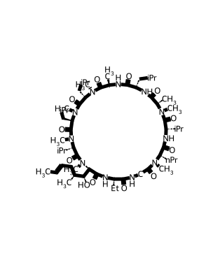 C/C=C/C[C@@H](C)[C@@H](O)[C@H]1C(=O)N[C@@H](CC)C(=O)NCC(=O)N(C)[C@@H](CCC)C(=O)N[C@@H](C(C)C)C(=O)N(C)[C@@H](C)C(=O)N[C@@H](CC(C)C)C(=O)N[C@H](C)C(=O)N(C)[C@@H](CC(C)C)C(=O)N(C)[C@H](CC(C)C)C(=O)N(C)[C@@H](C(C)C)C(=O)N1C